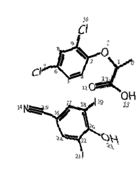 CC(Oc1ccc(Cl)cc1Cl)C(=O)O.N#Cc1cc(I)c(O)c(I)c1